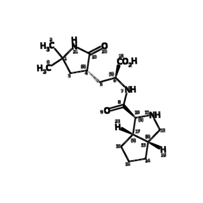 CC1(C)C[C@@H](C[C@H](NC(=O)[C@H]2NC[C@@H]3CCC[C@@H]32)C(=O)O)C(=O)N1